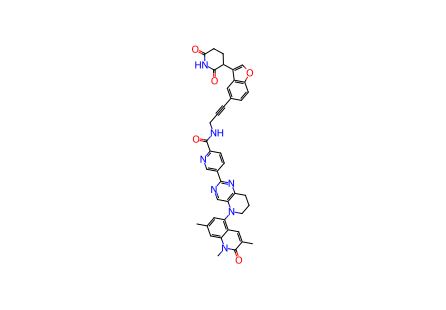 Cc1cc(N2CCCc3nc(-c4ccc(C(=O)NCC#Cc5ccc6occ(C7CCC(=O)NC7=O)c6c5)nc4)ncc32)c2cc(C)c(=O)n(C)c2c1